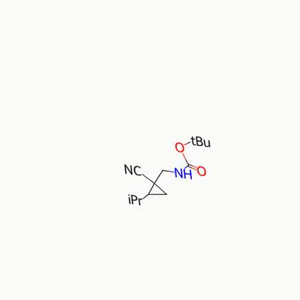 CC(C)C1CC1(C#N)CNC(=O)OC(C)(C)C